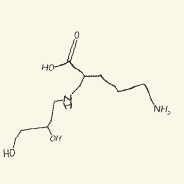 NCCCC(NCC(O)CO)C(=O)O